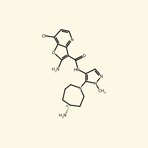 Cn1ncc(NC(=O)c2c(N)oc3c(Cl)ccnc23)c1N1CCC[C@@H](N)CC1